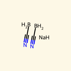 BC#N.BC#N.[NaH]